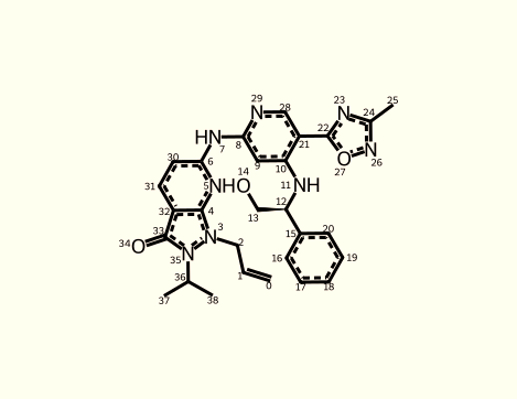 C=CCn1c2nc(Nc3cc(N[C@H](CO)c4ccccc4)c(-c4nc(C)no4)cn3)ccc2c(=O)n1C(C)C